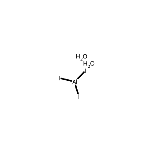 O.O.[I][Al]([I])[I]